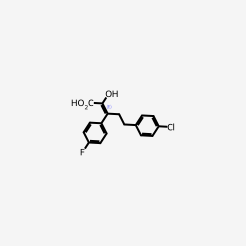 O=C(O)/C(O)=C(/CCc1ccc(Cl)cc1)c1ccc(F)cc1